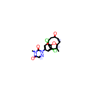 CNC(=O)N(/N=C\C=O)c1cc(Cl)c(OC2=C(/C)CCCCCC(=O)/C=C\2)c(Cl)c1